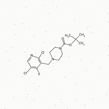 CC(C)(C)OC(=O)N1CCN(Cc2c(Cl)ncc(Cl)c2F)CC1